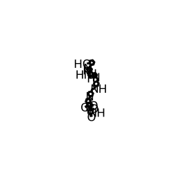 O=C1CCC(N2C(=O)c3ccc(N4CCC(CNC5CCC(CN6CCN7c8cc(-c9ccccc9O)nnc8NC[C@H]7C6)CC5)CC4)cc3C2=O)C(=O)N1